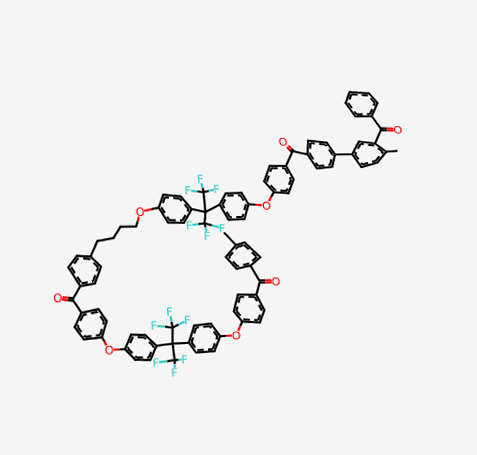 Cc1ccc(C(=O)c2ccc(Oc3ccc(C(c4ccc(Oc5ccc(C(=O)c6ccc(CCCCOc7ccc(C(c8ccc(Oc9ccc(C(=O)c%10ccc(-c%11ccc(C)c(C(=O)c%12ccccc%12)c%11)cc%10)cc9)cc8)(C(F)(F)F)C(F)(F)F)cc7)cc6)cc5)cc4)(C(F)(F)F)C(F)(F)F)cc3)cc2)cc1